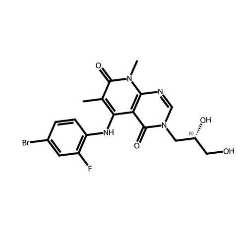 Cc1c(Nc2ccc(Br)cc2F)c2c(=O)n(C[C@H](O)CO)cnc2n(C)c1=O